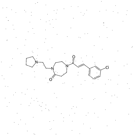 O=C(C=Cc1cccc(Cl)c1)N1CCC(=O)N(CCN2CCCC2)CC1